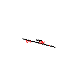 CCCCC(CC)CO.CCCCCCCCCCCCCCCCCCCCCCCCCCCCCC(O)CCCCC